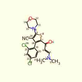 CN(C)C=CC(=O)c1sc(N2CCOCC2)c(C#N)c1-c1ccc(Cl)cc1Cl